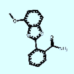 COc1cccc2sc(-c3ccccc3C(N)=O)nc12